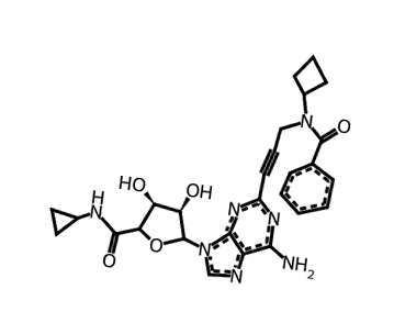 Nc1nc(C#CCN(C(=O)c2ccccc2)C2CCC2)nc2c1ncn2C1OC(C(=O)NC2CC2)[C@@H](O)[C@H]1O